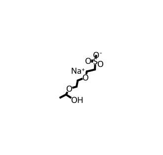 CC(O)OCCOCCS(=O)(=O)[O-].[Na+]